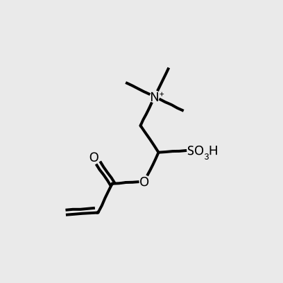 C=CC(=O)OC(C[N+](C)(C)C)S(=O)(=O)O